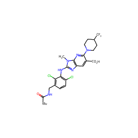 Cn1c(Nc2c(Cl)ccc(CNC(=O)C(C)(C)C)c2Cl)nc2cc(C(=O)O)c(N3CCC(C(F)(F)F)CC3)nc21